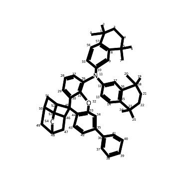 CC1(C)CCC(C)(C)c2cc(N(c3ccc4c(c3)C(C)(C)CCC4(C)C)c3cccc4c3Oc3cc(-c5ccccc5)ccc3C43C4CC5CC6CC3C64C5)ccc21